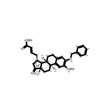 COC(=O)/C=C/C[C@@H]1CC(=O)[C@@]2(C)CC[C@@H]3c4cc(OC)c(OCc5ccccc5)cc4CC[C@H]3[C@H]12